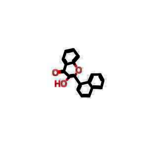 O=c1c(O)c(-c2cccc3ccccc23)oc2ccccc12